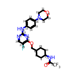 O=C(NC1CCC(COc2nc(Nc3ccc(N4CCOCC4)cc3)ncc2F)CC1)C(F)(F)F